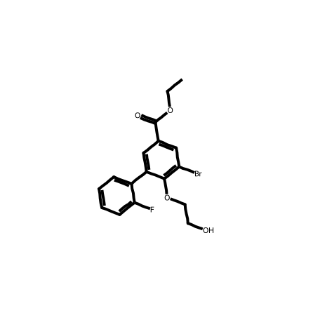 CCOC(=O)c1cc(Br)c(OCCO)c(-c2ccccc2F)c1